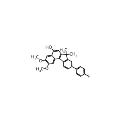 COc1cc2c(O)cc3c(c2cc1OC)-c1ccc(-c2ccc(F)cc2)cc1C3(C)C